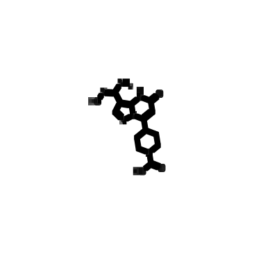 N/C(=N/O)c1cnn2c(C3CCN(C(=O)O)CC3)cc(=O)[nH]c12